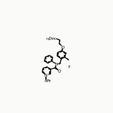 CCCCCCCCCCCCOc1ccc(CN(C(=O)c2ccc[n+](CCC)c2)c2ccccc2)c(C)c1.[I-]